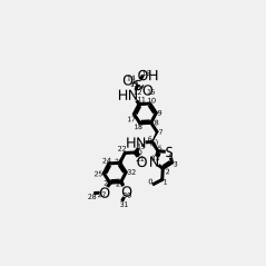 CCc1csc([C@H](Cc2ccc(NS(=O)(=O)O)cc2)NC(=O)Cc2ccc(OC)c(OC)c2)n1